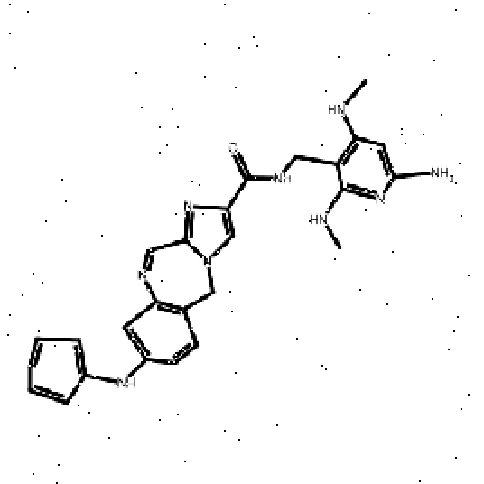 CNc1cc(N)nc(NC)c1CNC(=O)c1cn2c(n1)C=Nc1cc(Nc3ccccc3)ccc1C2